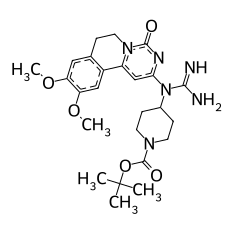 COc1cc2c(cc1OC)-c1cc(N(C(=N)N)C3CCN(C(=O)OC(C)(C)C)CC3)nc(=O)n1CC2